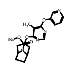 Cc1c(Oc2cccnc2)ncnc1OC1CC2CCC(C1)N2C(=O)OC(C)(C)C